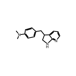 CN(C)c1ccc(CC2CNc3ncccc32)cc1